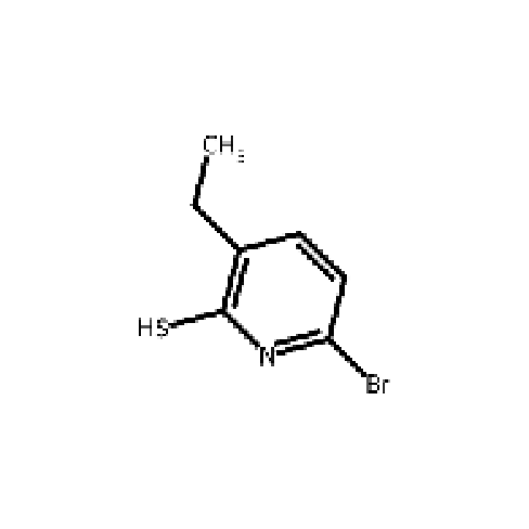 CCc1ccc(Br)nc1S